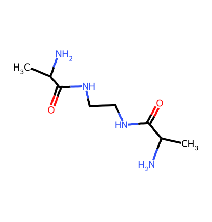 CC(N)C(=O)NCCNC(=O)C(C)N